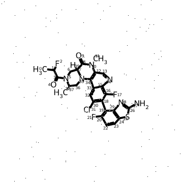 CC(F)C(=O)N1C[C@@H]2C(=O)N(C)c3cnc4c(F)c(-c5c(F)ccc6sc(N)nc56)c(Cl)cc4c3N2C[C@H]1C